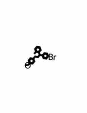 COc1ccc(CCC(c2ccc(Br)cc2)c2ccccc2C)cc1